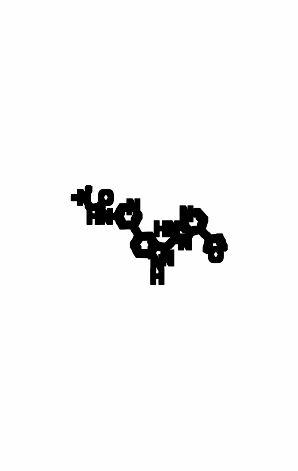 CN(C)CC(=O)Nc1cncc(-c2ccc3[nH]nc(-c4nc5c(-c6ccoc6)ccnc5[nH]4)c3c2)c1